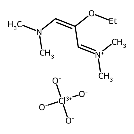 CCO/C(C=[N+](C)C)=C/N(C)C.[O-][Cl+3]([O-])([O-])[O-]